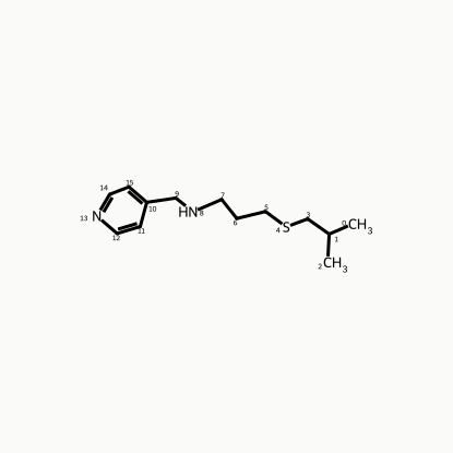 CC(C)CSCCCNCc1ccncc1